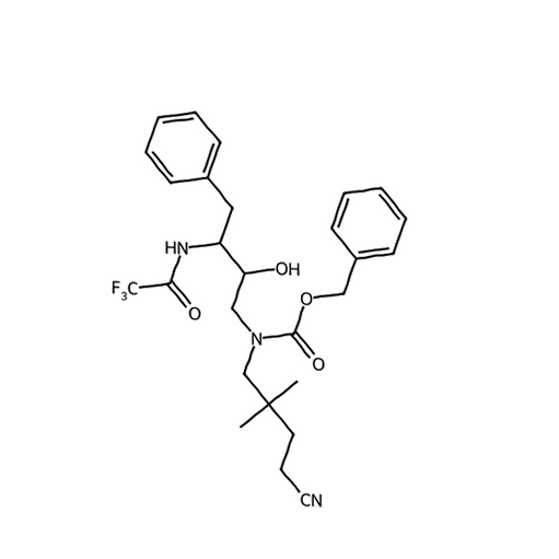 CC(C)(CCC#N)CN(CC(O)C(Cc1ccccc1)NC(=O)C(F)(F)F)C(=O)OCc1ccccc1